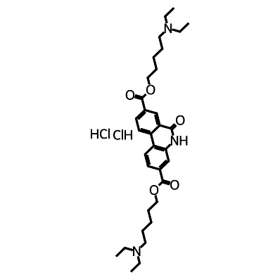 CCN(CC)CCCCCOC(=O)c1ccc2c(c1)[nH]c(=O)c1cc(C(=O)OCCCCCN(CC)CC)ccc12.Cl.Cl